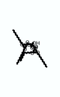 CCCCCCCCCCCCOc1cc(OCCCCCCCCCCCC)cc(C(=O)OCC(CO)(CO)COC(=O)c2cc(OCCCCCCCCCCCC)cc(OCCCCCCCCCCCC)c2)c1